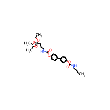 CCCCNC(=O)Oc1ccc(-c2ccc(OC(=O)NCCC[Si](OCC)(OCC)OCC)cc2)cc1